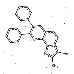 Cc1nn2c(ncc3cc(-c4ccccc4)c(-c4ccccc4)nc32)c1Br